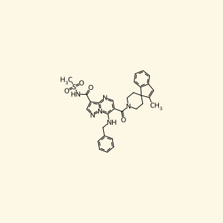 CC1=Cc2ccccc2C12CCN(C(=O)c1cnc3c(C(=O)NS(C)(=O)=O)cnn3c1NCc1ccccc1)CC2